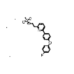 CS(=O)(=O)OCCc1cccc(-c2ccc(Oc3ccc(F)cc3)cc2)n1